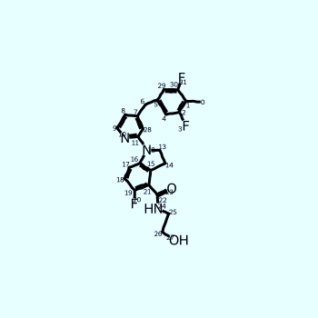 Cc1c(F)cc(Cc2ccnc(N3CCc4c3ccc(F)c4C(=O)NCCO)c2)cc1F